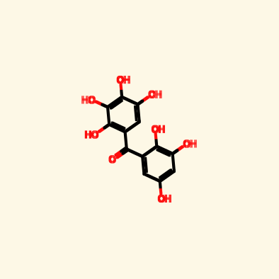 O=C(c1cc(O)cc(O)c1O)c1cc(O)c(O)c(O)c1O